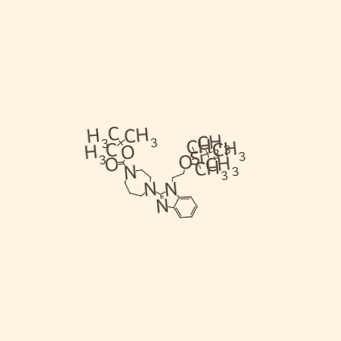 CC(C)(C)OC(=O)N1CCCN(c2nc3ccccc3n2CCO[Si](C)(C)C(C)(C)C)CC1